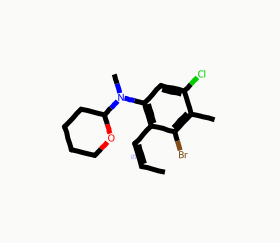 C/C=C\c1c(N(C)C2CCCCO2)cc(Cl)c(C)c1Br